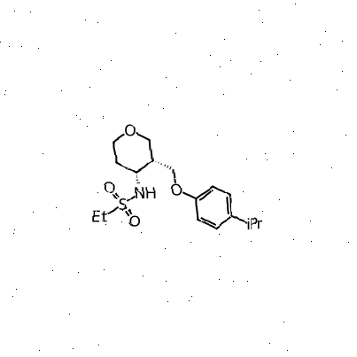 CCS(=O)(=O)N[C@@H]1CCOC[C@@H]1COc1ccc(C(C)C)cc1